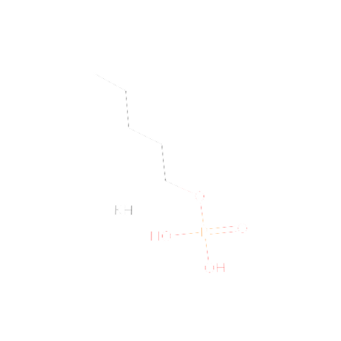 CCCCCOP(=O)(O)O.[KH]